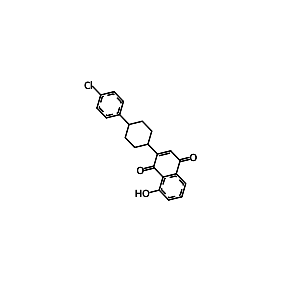 O=C1C=C(C2CCC(c3ccc(Cl)cc3)CC2)C(=O)c2c(O)cccc21